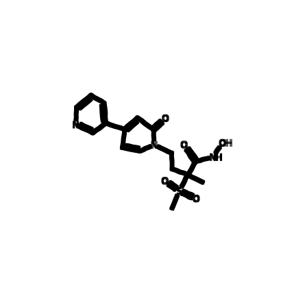 CC(CCn1ccc(-c2cccnc2)cc1=O)(C(=O)NO)S(C)(=O)=O